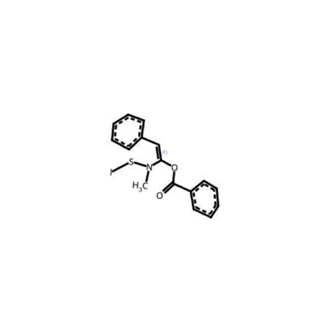 CN(SI)/C(=C\c1ccccc1)OC(=O)c1ccccc1